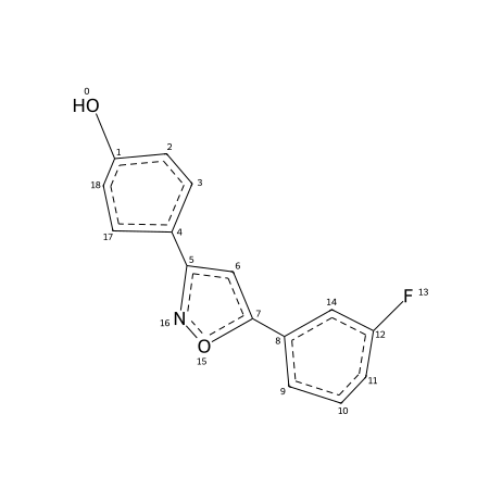 Oc1ccc(-c2cc(-c3cccc(F)c3)on2)cc1